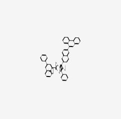 c1ccc(C2=NC(c3ccc4cc(-c5cc6ccccc6c6ccccc56)ccc4c3)=NC(c3cc(-c4ccccc4)cc4ccccc34)N2)cc1